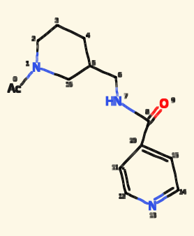 CC(=O)N1CCCC(CNC(=O)c2[c]cncc2)C1